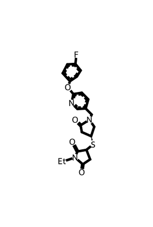 CCN1C(=O)CC(S[C@@H]2CC(=O)N(Cc3ccc(Oc4ccc(F)cc4)nc3)C2)C1=O